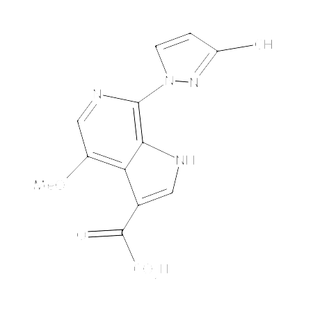 COc1cnc(-n2ccc(C)n2)c2[nH]cc(C(=O)C(=O)O)c12